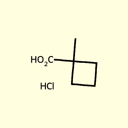 CC1(C(=O)O)CCC1.Cl